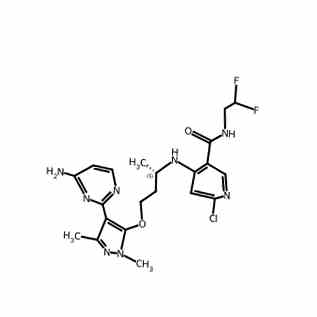 Cc1nn(C)c(OCC[C@H](C)Nc2cc(Cl)ncc2C(=O)NCC(F)F)c1-c1nccc(N)n1